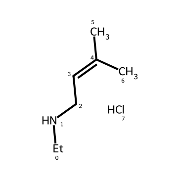 CCNCC=C(C)C.Cl